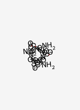 COc1ccc(CN2CCOCN(CCCN)CC(=O)N(Cc3ccc(OC)c(OC)c3)CC(=O)N(CCCN)CC(=O)N(Cc3ccc(OC)c(OC)c3)CC(=O)N(CCCN)CC2=O)cc1OC